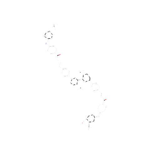 O=C(CCCC1CCN(c2ccc(C(F)(F)F)c(-c3cc(N4CCC(CCC(=O)N5CCC(Nc6ccc([N+](=O)[O-])c(C(F)(F)F)c6)CC5)CC4)ccc3C(F)(F)F)c2)CC1)N1CCC(Nc2ccc(SC(F)(F)F)cc2)CC1